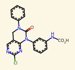 O=C(O)Nc1cccc(N2C(=O)N(c3ccccc3)Cc3cnc(Cl)nc32)c1